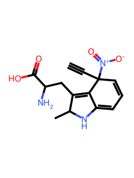 C#CC1([N+](=O)[O-])C=CC=C2NC(C)C(CC(N)C(=O)O)=C21